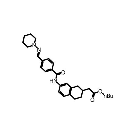 CCCCOC(=O)CC1CCc2ccc(NC(=O)c3ccc(/C=N/N4CCCCC4)cc3)cc2C1